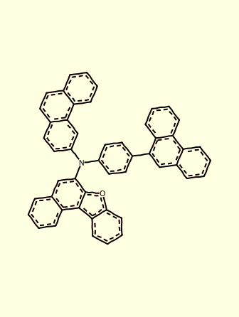 c1ccc2c(c1)ccc1ccc(N(c3ccc(-c4cc5ccccc5c5ccccc45)cc3)c3cc4ccccc4c4c3oc3ccccc34)cc12